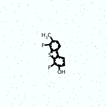 Cc1ccc2c(sc3c(F)c(O)ccc32)c1F